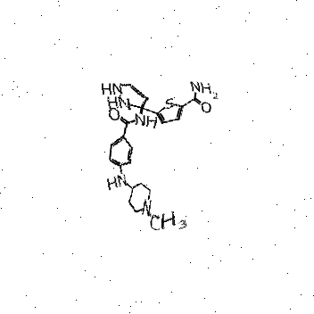 CN1CCC(Nc2ccc(C(=O)NC3(c4ccc(C(N)=O)s4)C=CNN3)cc2)CC1